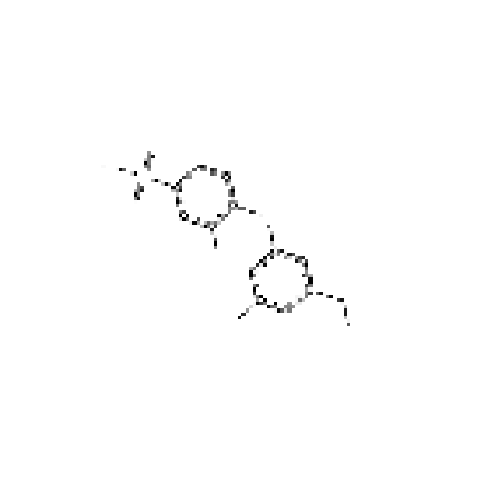 CCS(=O)(=O)c1ccc(Oc2cc(F)cc(CC(=O)O)c2)c(Cl)c1